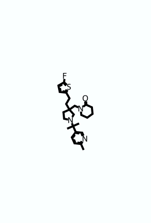 Cc1ccc(C(C)(C)N2CCC(CCc3ccc(F)s3)(CN3CCCCC3=O)C2)cn1